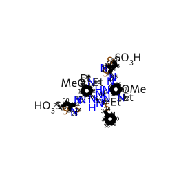 CCN(CC)c1cc(Nc2nc(Nc3cc(N(CC)CC)c(OC)cc3/N=N/c3snc4sc(S(=O)(=O)O)cc34)nc(SCc3ccccc3)n2)c(/N=N/c2snc3sc(S(=O)(=O)O)cc23)cc1OC